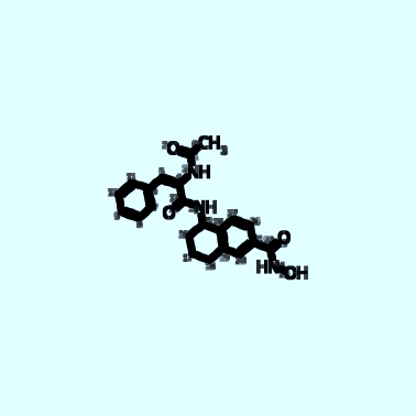 CC(=O)NC(=Cc1ccccc1)C(=O)NC1CCCc2cc(C(=O)NO)ccc21